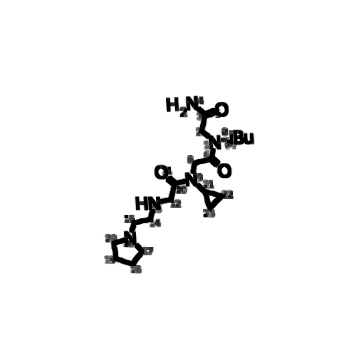 CC[C@@H](C)N(CC(N)=O)C(=O)CN(C(=O)CNCCN1CCCC1)C1CC1